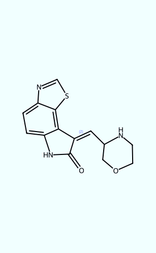 O=C1Nc2ccc3ncsc3c2/C1=C/C1COCCN1